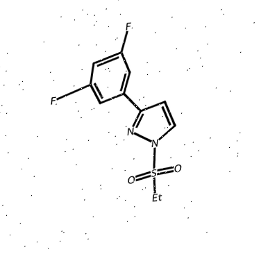 CCS(=O)(=O)n1ccc(-c2cc(F)cc(F)c2)n1